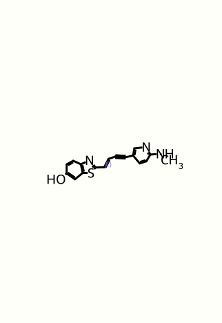 CNc1ccc(C#C/C=C/c2nc3ccc(O)cc3s2)cn1